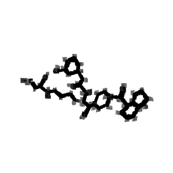 C=CC(=O)NCCCC[C@H](NC(=O)Cc1cccc(Cl)c1)C(=O)N1CCN(C(=O)c2cccc3ccccc23)CC1